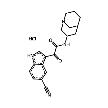 Cl.N#Cc1ccc2[nH]cc(C(=O)C(=O)NC3CC4CCCN(C4)C3)c2c1